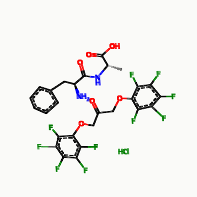 C[C@H](NC(=O)[C@@H](N)Cc1ccccc1)C(=O)O.Cl.O=C(COc1c(F)c(F)c(F)c(F)c1F)COc1c(F)c(F)c(F)c(F)c1F